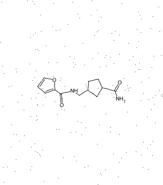 NC(=O)C1CCC(CNC(=O)c2ccco2)C1